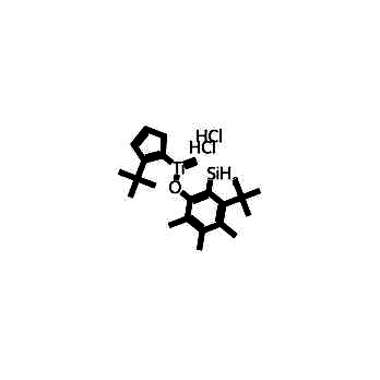 Cl.Cl.[CH2]=[Ti]([O]c1c(C)c(C)c(C)c(C(C)(C)C)c1[SiH3])[C]1=C(C(C)(C)C)C=CC1